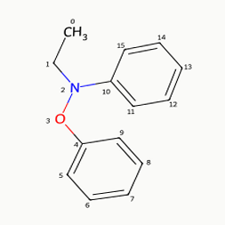 CCN(Oc1ccccc1)c1ccccc1